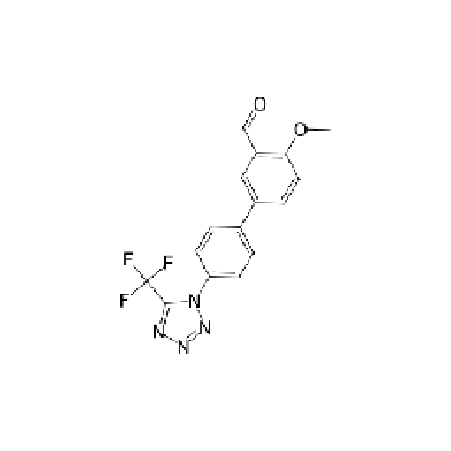 COc1ccc(-c2ccc(-n3nnnc3C(F)(F)F)cc2)cc1C=O